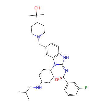 CC(C)CNC1CCC(n2/c(=N\C(=O)c3cccc(F)c3)[nH]c3ccc(CN4CCC(C(C)(C)O)CC4)cc32)CC1